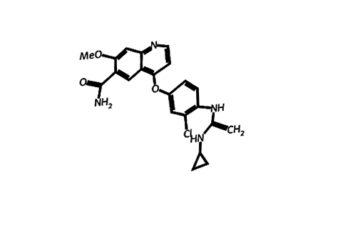 C=C(Nc1ccc(Oc2ccnc3cc(OC)c(C(N)=O)cc23)cc1Cl)NC1CC1